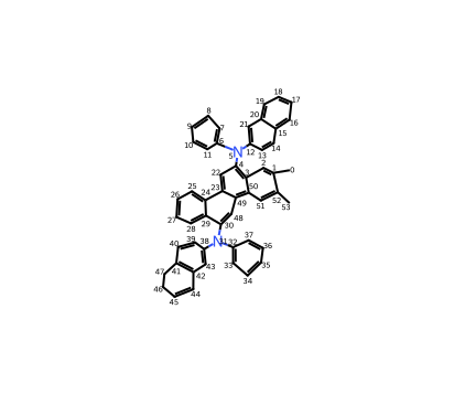 Cc1cc2c(N(c3ccccc3)c3ccc4ccccc4c3)cc3c4ccccc4c(N(c4ccccc4)c4ccc5c(c4)C=CCC5)cc3c2cc1C